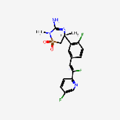 CN1C(N)=N[C@](C)(c2cc(/C=C(\F)c3ccc(F)cn3)ccc2F)CS1(=O)=O